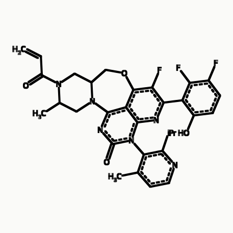 C=CC(=O)N1CC2COc3c(F)c(-c4c(O)ccc(F)c4F)nc4c3c(nc(=O)n4-c3c(C)ccnc3C(C)C)N2CC1C